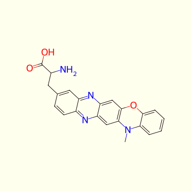 CN1c2ccccc2Oc2cc3nc4cc(CC(N)C(=O)O)ccc4nc3cc21